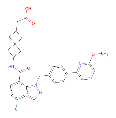 COc1cccc(-c2ccc(Cn3ncc4c(Cl)ccc(C(=O)NC5CC6(CC(CC(=O)O)C6)C5)c43)cc2)n1